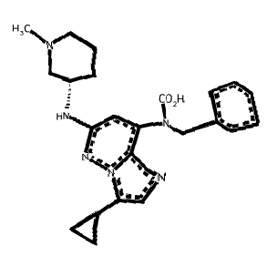 CN1CCC[C@H](Nc2cc(N(Cc3ccccc3)C(=O)O)c3ncc(C4CC4)n3n2)C1